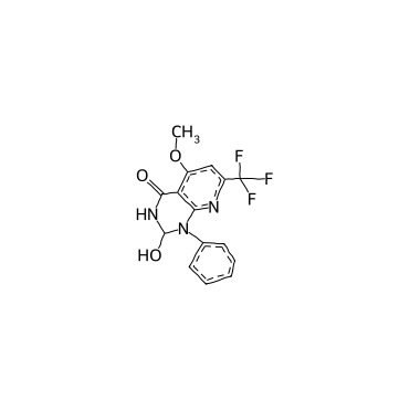 COc1cc(C(F)(F)F)nc2c1C(=O)NC(O)N2c1ccccc1